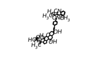 COC(=O)c1c(C)nc2cccc(C)c2c1NCc1ccc(C#C[C@@]2(O)CC[C@@]3(C)C(C[C@@H](O)C4C3C[C@H](O)[C@@]3(C)C4CC[C@@H]3C(C)CCC(=O)O)C2)cc1